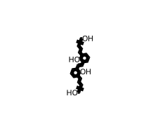 CC(C)(CO)CCCC1CCCC(C=CC2CCCC(CCCC(C)(C)CO)C2O)C1O